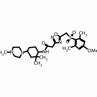 COc1cc(C)c(S(=O)(=O)Cc2nc(CC(=O)NC3CCC(N4CCN(C)CC4)CC3(C)C)no2)c(C)c1